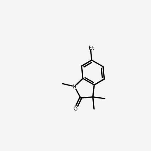 CCc1ccc2c(c1)N(C)C(=O)C2(C)C